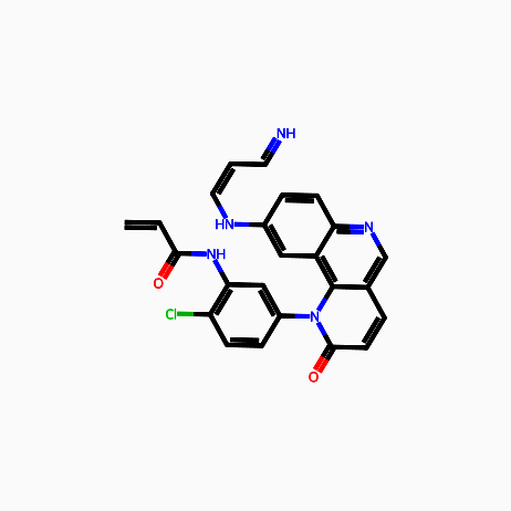 C=CC(=O)Nc1cc(-n2c(=O)ccc3cnc4ccc(N/C=C\C=N)cc4c32)ccc1Cl